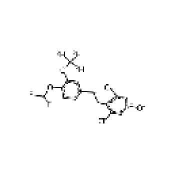 [2H]C([2H])([2H])Oc1cc([CH]Cc2c(Cl)c[n+]([O-])cc2Cl)ccc1OC(F)F